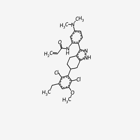 C=CC(=O)Nc1cc(N(C)C)ccc1-c1n[nH]c2c1CCC(c1c(Cl)c(CC)cc(OC)c1Cl)C2